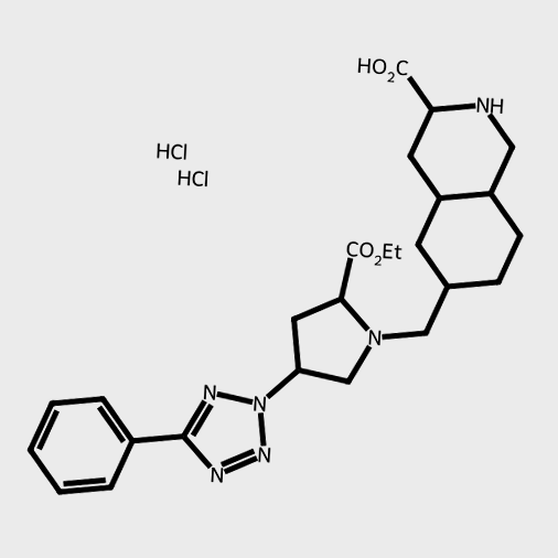 CCOC(=O)C1CC(n2nnc(-c3ccccc3)n2)CN1CC1CCC2CNC(C(=O)O)CC2C1.Cl.Cl